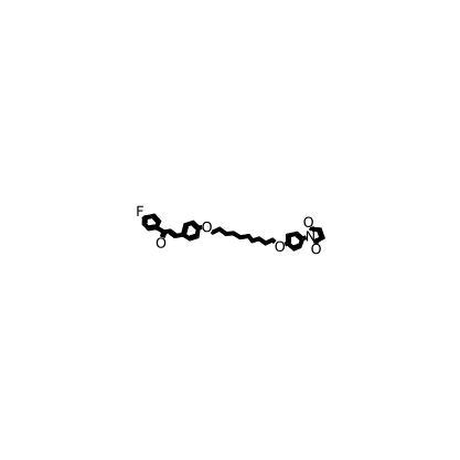 O=C(C=Cc1ccc(OCCCCCCCCCCOc2ccc(N3C(=O)C=CC3=O)cc2)cc1)c1ccc(F)cc1